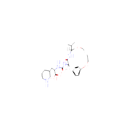 CC(C)[C@H]1COCCCCOc2ccc(cc2)C[C@@H](NC(=O)NC(CC2CCCNC2)C(=O)O)C(=O)N1